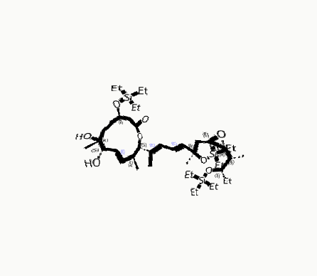 CC[C@H](O[Si](CC)(CC)CC)[C@@H](C)[C@H]1O[C@@H]1C[C@](C)(/C=C/C=C(\C)[C@H]1OC(=O)C[C@H](O[Si](CC)(CC)CC)CC[C@@](C)(O)[C@@H](O)/C=C/[C@@H]1C)O[Si](CC)(CC)CC